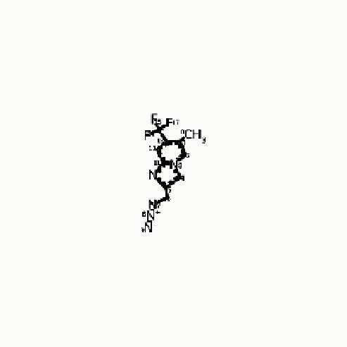 Cc1cn2cc(CN=[N+]=[N-])nc2cc1C(F)(F)F